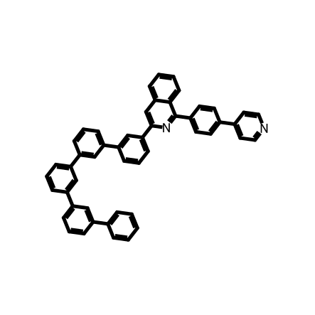 c1ccc(-c2cccc(-c3cccc(-c4cccc(-c5cccc(-c6cc7ccccc7c(-c7ccc(-c8ccncc8)cc7)n6)c5)c4)c3)c2)cc1